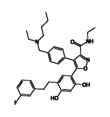 CCCCN(CC)Cc1ccc(-c2c(C(=O)NCC)noc2-c2cc(CCc3cccc(F)c3)c(O)cc2O)cc1